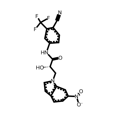 N#Cc1ccc(NC(=O)[C@@H](O)Cn2ccc3ccc([N+](=O)[O-])cc32)cc1C(F)(F)F